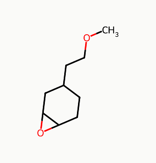 COCCC1CCC2OC2C1